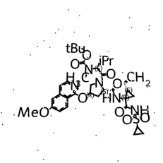 C=C[C@@H]1C[C@]1(NC(=O)[C@@H]1C[C@@H](Oc2nccc3cc(OC)ccc23)CN1C(=O)[C@H](C(C)C)N(C)C(=O)OC(C)(C)C)C(=O)NS(=O)(=O)C1CC1